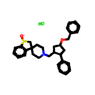 Cl.[O-][S+]1CC2(CCN(CC3CC(OCc4ccccc4)CC3c3ccccc3)CC2)c2ccccc21